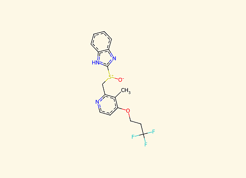 Cc1c(OCCC(F)(F)F)ccnc1C[S+]([O-])c1nc2ccccc2[nH]1